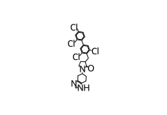 O=C1C(Cc2c(Cl)cc(-c3ccc(Cl)cc3Cl)cc2Cl)CCN1C1CCc2[nH]cnc2C1